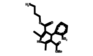 COC(=O)C1=C(C)NC(C)=C(C(=O)OCCCN)C1c1ccccc1[N+](=O)[O-]